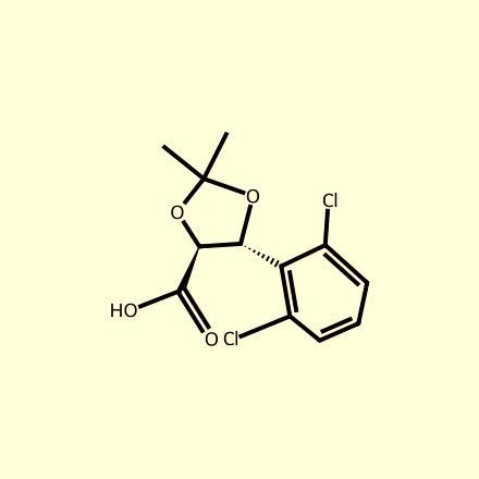 CC1(C)O[C@H](C(=O)O)[C@@H](c2c(Cl)cccc2Cl)O1